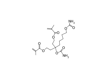 C=C(C)C(=O)OCCC(CCCCCOC(N)=O)(CCOC(=O)C(=C)C)OC(N)=O